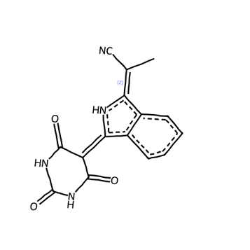 C/C(C#N)=c1/[nH]c(=C2C(=O)NC(=O)NC2=O)c2ccccc12